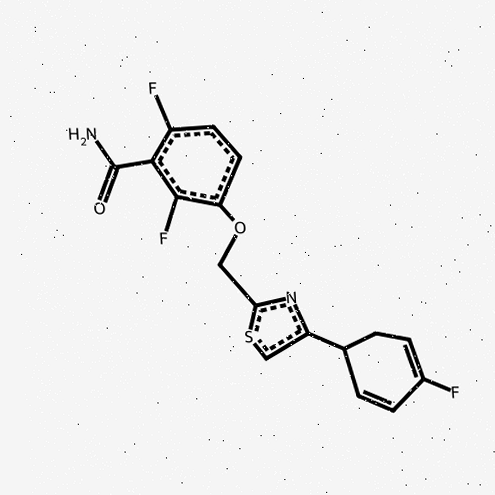 NC(=O)c1c(F)ccc(OCc2nc(C3C=CC(F)=CC3)cs2)c1F